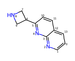 c1cnc2nc(C3CNC3)ccc2c1